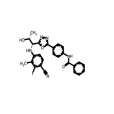 Cc1c(N[C@@H](c2nnc(-c3ccc(NC(=O)c4ccccc4)cc3)o2)[C@@H](C)O)ccc(C#N)c1I